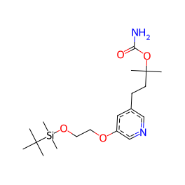 CC(C)(CCc1cncc(OCCO[Si](C)(C)C(C)(C)C)c1)OC(N)=O